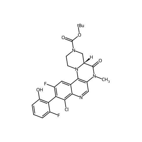 CN1C(=O)[C@H]2CN(C(=O)OC(C)(C)C)CCN2c2c1cnc1c(Cl)c(-c3c(O)cccc3F)c(F)cc21